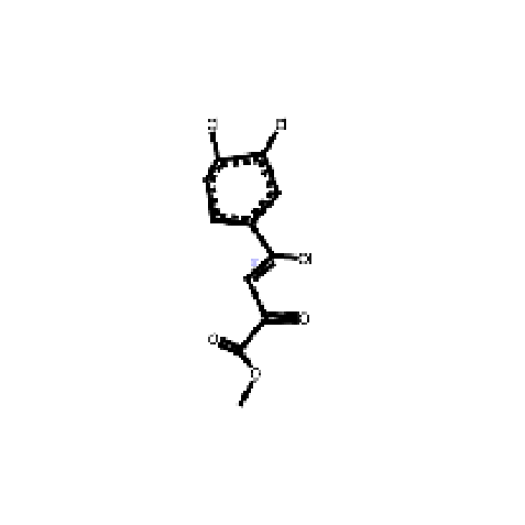 COC(=O)C(=O)/C=C(\O)c1ccc(Cl)c(Cl)c1